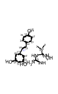 CN(C)C(=N)NC(=N)N.Cl.Oc1ccc(/C=C/c2cc(O)cc(O)c2)cc1